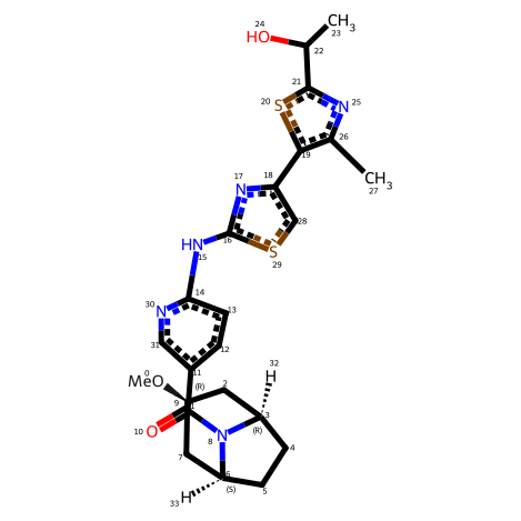 CO[C@H]1C[C@H]2CC[C@@H](C1)N2C(=O)c1ccc(Nc2nc(-c3sc(C(C)O)nc3C)cs2)nc1